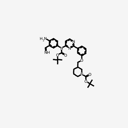 CC(C)(C)OC(=O)N1CCCC(COc2cccc(-c3nccc(N(C(=O)OC(C)(C)C)c4ccc(N)c(C=N)c4)n3)c2)C1